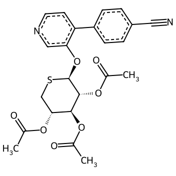 CC(=O)O[C@@H]1[C@@H](OC(C)=O)[C@H](OC(C)=O)CS[C@H]1Oc1cnccc1-c1ccc(C#N)cc1